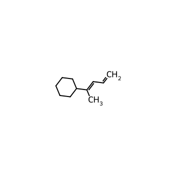 C=CC=C(C)C1CCCCC1